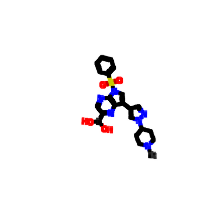 CCN1CCC(n2cc(-c3cn(S(=O)(=O)c4ccccc4)c4ncc(B(O)O)nc34)cn2)CC1